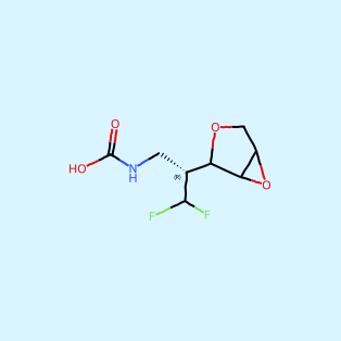 O=C(O)NC[C@@H](C(F)F)C1OCC2OC21